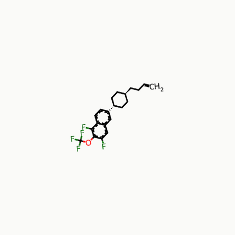 C=CCC[C@H]1CC[C@H](c2ccc3c(F)c(OC(F)(F)F)c(F)cc3c2)CC1